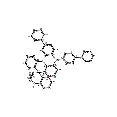 c1ccc(-c2ccc(N(c3ccc(-c4ccccc4)cc3)c3cccc4c3Oc3ccccc3C43c4ccccc4Sc4ccccc43)cc2)cc1